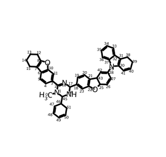 CN1C(c2ccc3c4c(oc3c2)CCCC4)=NC(c2ccc3c(c2)OC2C=CC(n4c5c(c6ccccc64)CCC=C5)=CC32)NC1C1C=CC=CC1